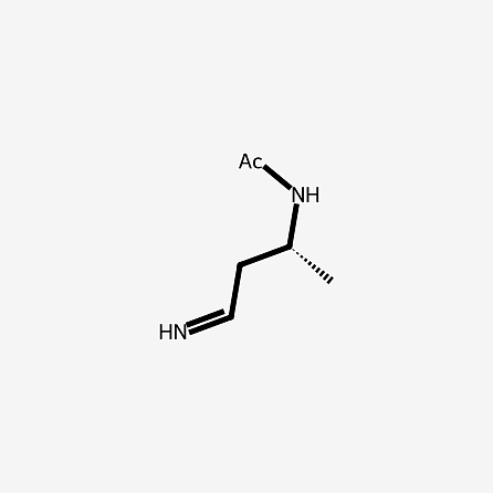 CC(=O)N[C@H](C)CC=N